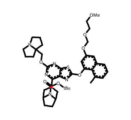 COCCOCOc1cc(Oc2nc3c(N4CC5CCC(C4)N5C(=O)OC(C)(C)C)nc(OCC45CCCN4CCC5)nc3s2)c2c(C)cccc2c1